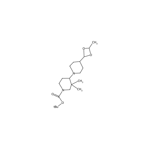 CC1OC(C2CCN(C3CCN(C(=O)OC(C)(C)C)CC3(C)C)CC2)O1